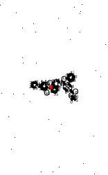 CC(C)(C)OC(=O)N1CCN(C(=O)N2CC[C@@](O)(Cn3ccc(N4CCCC4)cc3=O)C3(CCCC3)C2)[C@H](c2ccccc2)C1